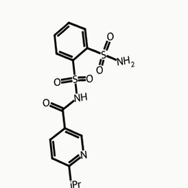 CC(C)c1ccc(C(=O)NS(=O)(=O)c2ccccc2S(N)(=O)=O)cn1